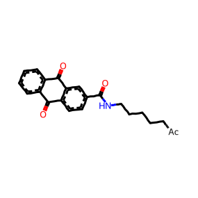 CC(=O)CCCCCNC(=O)c1ccc2c(c1)C(=O)c1ccccc1C2=O